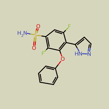 NS(=O)(=O)c1cc(F)c(-c2ccn[nH]2)c(Oc2ccccc2)c1F